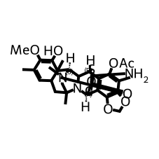 COC1=C(O)C2(C)C(C=C1C)CC1(C)CN(C)[C@@H]2C2[C@@H]3SCC(N)C(=O)OC[C@@H](c4c5c(c(C)c(OC(C)=O)c43)OCO5)N21